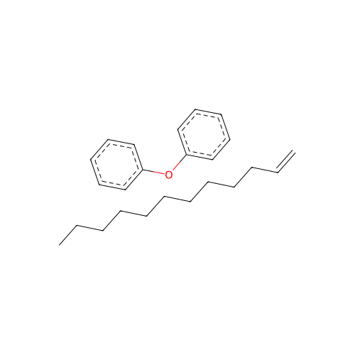 C=CCCCCCCCCCC.c1ccc(Oc2ccccc2)cc1